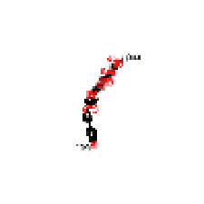 CCCOc1ccc(-c2ccc(OC(=O)c3ccc(OCCOCCOCCOC(=O)C(C)CC)cc3)cc2)cc1